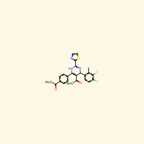 COC(=O)C1=C(c2ccc(C(=O)OC)cc2)NC(c2nccs2)=NC1c1ccc(F)c(F)c1C